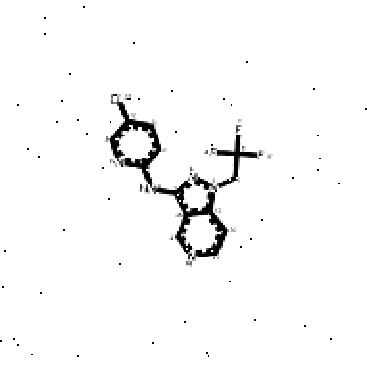 FC(F)(F)Cn1nc(Nc2ccc(Cl)cn2)c2cnccc21